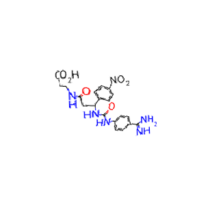 N=C(N)c1ccc(NC(=O)NC(CC(=O)NCCC(=O)O)c2ccc([N+](=O)[O-])cc2)cc1